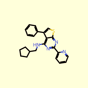 c1ccc(-c2csc3nc(-c4ccccn4)nc(NCC4CCCC4)c23)cc1